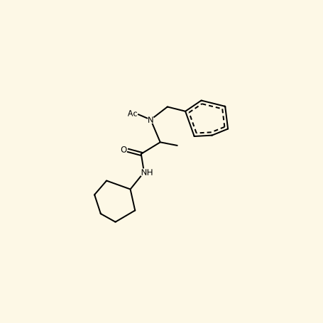 CC(=O)N(Cc1ccccc1)C(C)C(=O)NC1CCCCC1